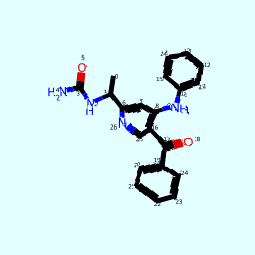 CC(NC(N)=O)c1cc(Nc2ccccc2)c(C(=O)c2ccccc2)cn1